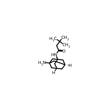 CC(C)(C)CC(=O)NC12C[C@@H]3C[C@@H](CC(N)(C3)C1)C2